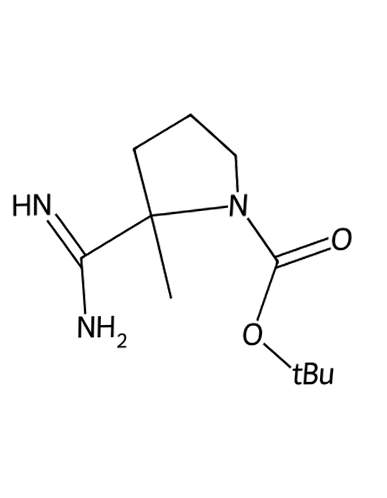 CC(C)(C)OC(=O)N1CCCC1(C)C(=N)N